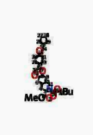 COC(=O)[C@@H]1Cc2cc3c(cc2CN1C(=O)OC(C)(C)C)OC(c1ccc(OCC2CCCC2)cc1)CO3